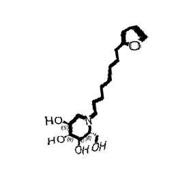 OC[C@@H]1[C@@H](O)[C@H](O)[C@@H](O)CN1CCCCCCCCc1ccco1